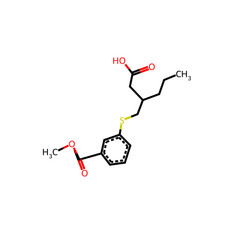 CCCC(CSc1cccc(C(=O)OC)c1)CC(=O)O